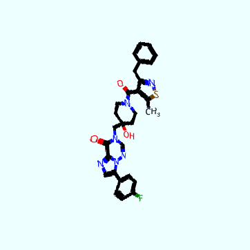 Cc1snc(Cc2ccccc2)c1C(=O)N1CCC(O)(Cn2cnn3c(-c4ccc(F)cc4)cnc3c2=O)CC1